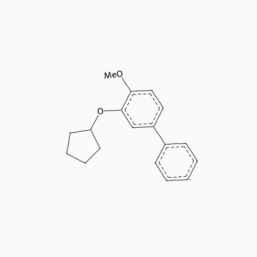 COc1ccc(-c2cc[c]cc2)cc1OC1CCCC1